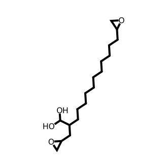 OC(O)C(CCCCCCCCCCCC1CO1)CC1CO1